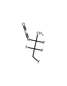 CC(F)(N=C=O)C(F)(F)CF